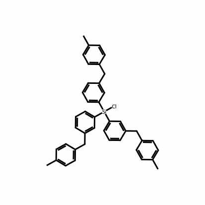 Cc1ccc(Cc2cccc([Si](Cl)(c3cccc(Cc4ccc(C)cc4)c3)c3cccc(Cc4ccc(C)cc4)c3)c2)cc1